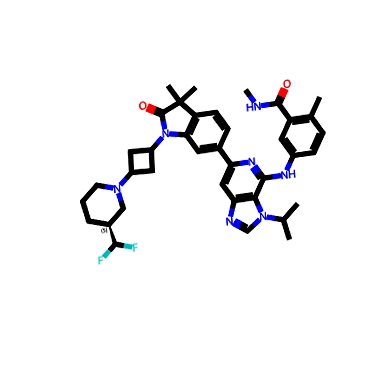 CNC(=O)c1cc(Nc2nc(-c3ccc4c(c3)N(C3CC(N5CCC[C@H](C(F)F)C5)C3)C(=O)C4(C)C)cc3ncn(C(C)C)c23)ccc1C